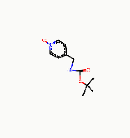 CC(C)(C)OC(=O)NCc1cc[n+]([O-])cc1